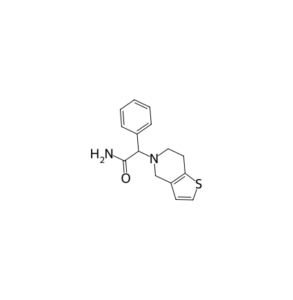 NC(=O)C(c1ccccc1)N1CCc2sccc2C1